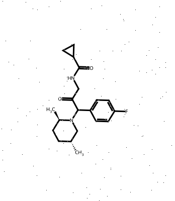 C[C@@H]1CC[C@@H](C)N(C(C(=O)CNC(=O)C2CC2)c2ccc(F)cc2)C1